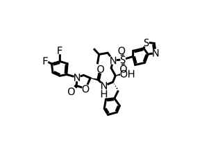 CC(C)CN(C[C@@H](O)[C@H](Cc1ccccc1)NC(=O)[C@@H]1CN(c2ccc(F)c(F)c2)C(=O)O1)S(=O)(=O)c1ccc2ncsc2c1